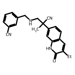 CCc1cc2ccc(C(C)(C#N)CNCc3cccc(C#N)c3)cc2[nH]c1=O